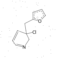 ClC1(Cc2ccco2)C=CC=NC1